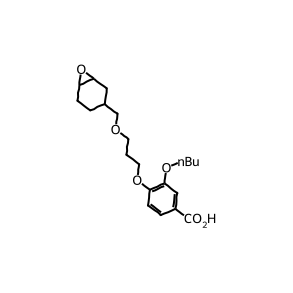 CCCCOc1cc(C(=O)O)ccc1OCCCOCC1CCC2OC2C1